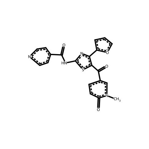 Cn1cc(C(=O)c2sc(NC(=O)c3ccncc3)nc2-c2ccco2)ccc1=O